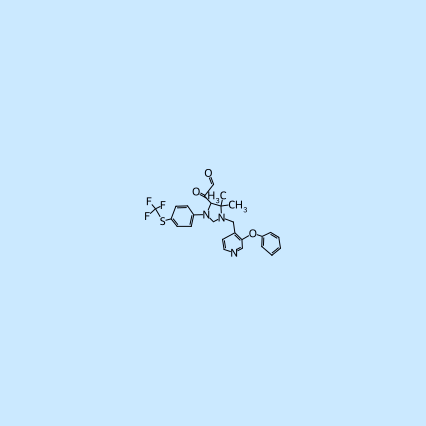 CC1(C)C(C(=O)C=O)N(c2ccc(SC(F)(F)F)cc2)CN1Cc1ccncc1Oc1ccccc1